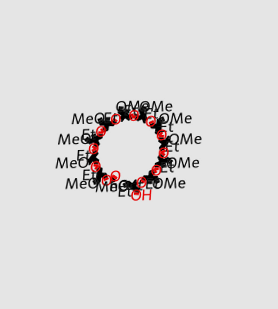 CCCCCCCCC(=O)OCC(CC)(COC)COCC(CC)(COC)COCC(CC)(COC)COCC(CC)(COC)COCC(CC)(COC)COCC(CC)(COC)COCC(CC)(COC)COCC(CC)(COC)COCC(CC)(COC)COCC(CC)(COC)COCC(CC)(CO)COC